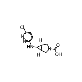 O=C(O)N1C[C@@H]2C(Nc3ccc(Cl)nn3)[C@@H]2C1